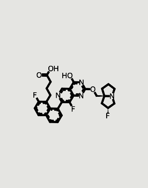 O=C(O)CCCc1c(F)ccc2cccc(-c3ncc4c(O)nc(OC[C@@]56CCCN5C[C@H](F)C6)nc4c3F)c12